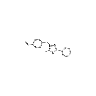 C=Cc1ccc(Cn2nc(-c3ccccc3)nc2C)cc1